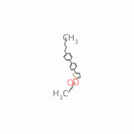 CCC=CC(=O)Oc1ccc(-c2ccc(-c3ccc(CCCCC)cc3)cc2)s1